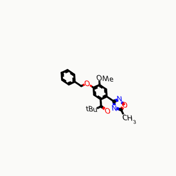 COc1cc(-c2noc(C)n2)c(C(=O)C(C)(C)C)cc1OCc1ccccc1